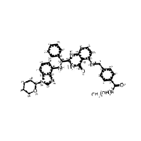 CN(O)C(=O)c1ccc(CNc2cccc3nc([C@@H](Nc4cccc5c4ncn5C4CCCCO4)c4ccccc4)[nH]c(=O)c23)cc1